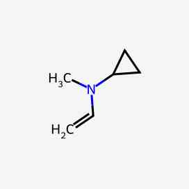 C=CN(C)C1CC1